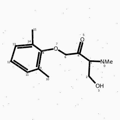 CNC(CO)C(=O)COc1c(C)cccc1C